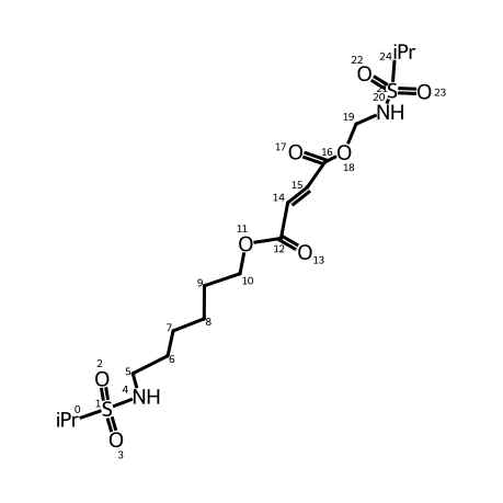 CC(C)S(=O)(=O)NCCCCCCOC(=O)/C=C/C(=O)OCNS(=O)(=O)C(C)C